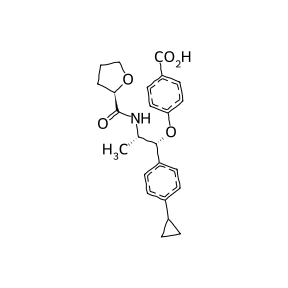 C[C@H](NC(=O)[C@H]1CCCO1)[C@H](Oc1ccc(C(=O)O)cc1)c1ccc(C2CC2)cc1